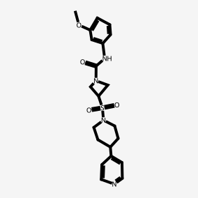 COc1cccc(NC(=O)N2CC(S(=O)(=O)N3CCC(c4ccncc4)CC3)C2)c1